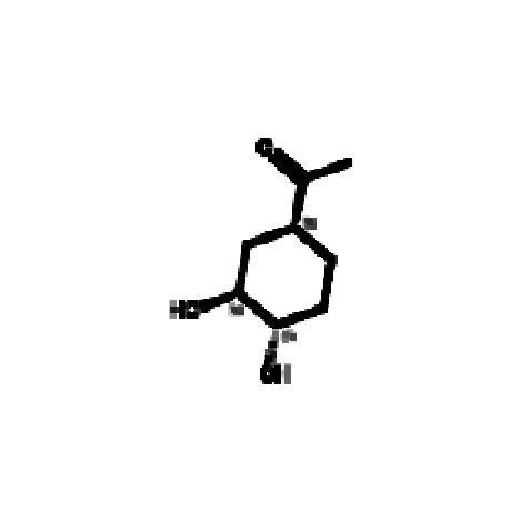 CC(=O)[C@H]1CC[C@H](O)[C@@H](O)C1